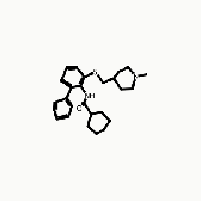 CN1CCC(CSc2cccc(-c3ccccc3)c2NC(=O)C2CCCCC2)CC1